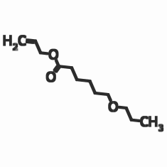 C=CCOC(=O)CCCCCOCCC